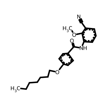 CCCCCCCOc1ccc(C(=O)Nc2cccc(C#N)c2OC)cc1